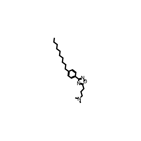 CCCCCCCCCCc1ccc(-c2noc(CCCN(C)C)n2)cc1